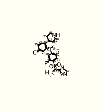 CN(c1ncns1)S(=O)(=O)c1cc(F)c(OC[C@H]2CNCC[C@@H]2c2ccc(Cl)cc2)cc1F